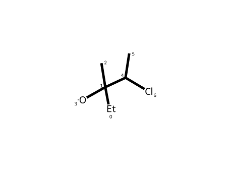 CCC(C)([O])C(C)Cl